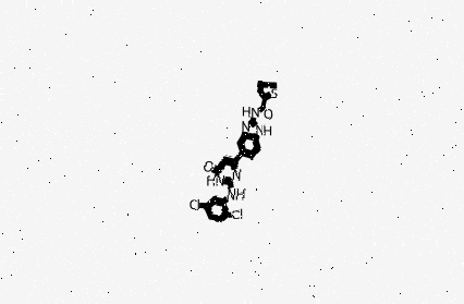 O=C(Nc1nc2cc(-c3cc(=O)[nH]c(Nc4cc(Cl)ccc4Cl)n3)ccc2[nH]1)c1cccs1